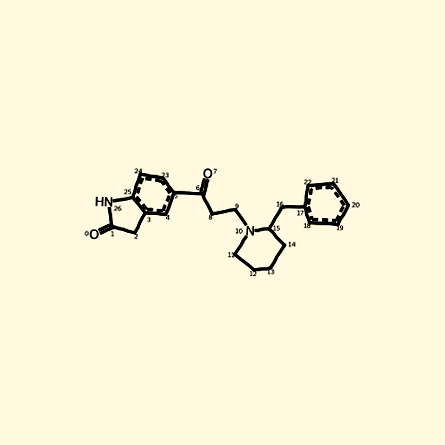 O=C1Cc2cc(C(=O)CCN3CCCCC3Cc3ccccc3)ccc2N1